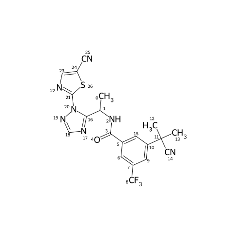 CC(NC(=O)c1cc(C(F)(F)F)cc(C(C)(C)C#N)c1)c1ncnn1-c1ncc(C#N)s1